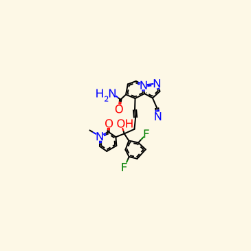 Cn1cccc(C(O)(CC#Cc2c(C(N)=O)ccn3ncc(C#N)c23)c2cc(F)ccc2F)c1=O